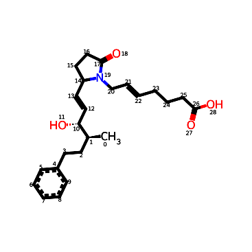 C[C@@H](CCc1ccccc1)[C@H](O)C=CC1CCC(=O)N1CC=CCCCC(=O)O